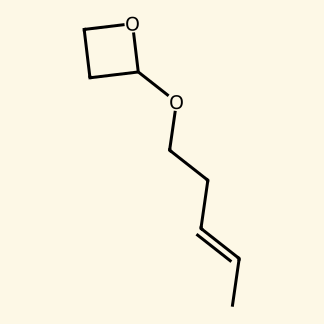 CC=CCCOC1CCO1